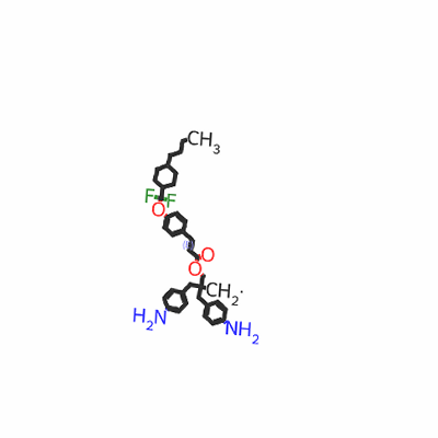 [CH2]C(COC(=O)/C=C/c1ccc(OC(F)(F)C2CCC(CCCC)CC2)cc1)(Cc1ccc(N)cc1)Cc1ccc(N)cc1